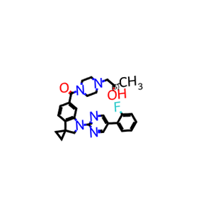 C[C@H](O)CN1CCN(C(=O)c2ccc3c(c2)N(c2ncc(-c4ccccc4F)cn2)CC32CC2)CC1